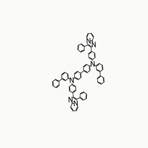 c1ccc(-c2cccc(N(c3ccc(-c4ccc(N(c5ccc(-c6nc7ccccn7c6-c6ccccc6)cc5)c5cccc(-c6ccccc6)c5)cc4)cc3)c3ccc(-c4nc5ccccn5c4-c4ccccc4)cc3)c2)cc1